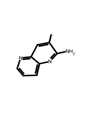 Cc1cc2ncccc2nc1N